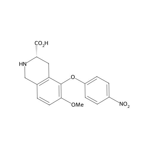 COc1ccc2c(c1Oc1ccc([N+](=O)[O-])cc1)C[C@@H](C(=O)O)NC2